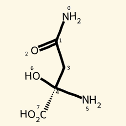 NC(=O)C[C@@](N)(O)C(=O)O